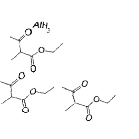 CCOC(=O)C(C)C(C)=O.CCOC(=O)C(C)C(C)=O.CCOC(=O)C(C)C(C)=O.[AlH3]